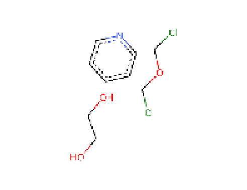 ClCOCCl.OCCO.c1ccncc1